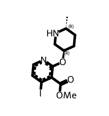 COC(=O)c1c(I)ccnc1O[C@@H]1CC[C@@H](C)NC1